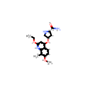 CCOc1cc(O[C@H]2CN[C@H](C(N)=O)C2)c2ccc(OC)c(C)c2n1